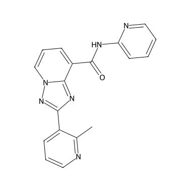 Cc1ncccc1-c1nc2c(C(=O)Nc3ccccn3)cccn2n1